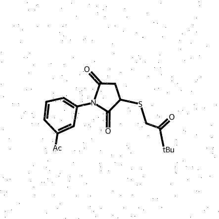 CC(=O)c1cccc(N2C(=O)CC(SCC(=O)C(C)(C)C)C2=O)c1